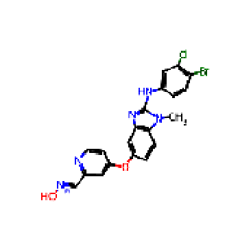 Cn1c(Nc2ccc(Br)c(Cl)c2)nc2cc(Oc3ccnc(/C=N/O)c3)ccc21